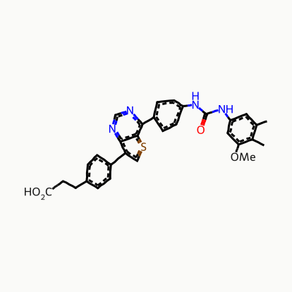 COc1cc(NC(=O)Nc2ccc(-c3ncnc4c(-c5ccc(CCC(=O)O)cc5)csc34)cc2)cc(C)c1C